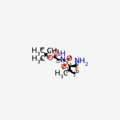 Cc1csc(N)c1S(=O)(=O)NCC(=O)OC(C)(C)C